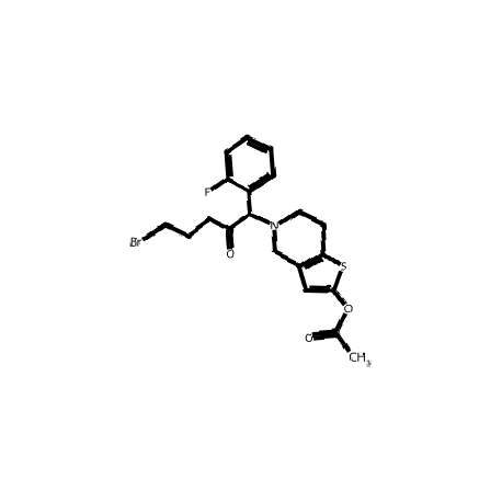 CC(=O)Oc1cc2c(s1)CCN(C(C(=O)CCCBr)c1ccccc1F)C2